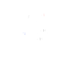 C=C(C)c1cnccc1/C=C(/O)CC